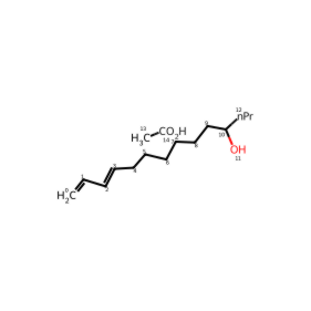 C=CC=CCCCCCCC(O)CCC.CC(=O)O